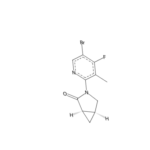 Cc1c(N2C[C@H]3C[C@H]3C2=O)ncc(Br)c1F